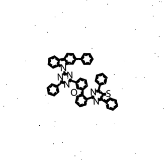 c1ccc(-c2ccc3c4ccccc4n(-c4nc(-c5ccccc5)nc(-c5cccc6c5oc5cccc(-c7nc(-c8ccccc8)c8sc9ccccc9c8n7)c56)n4)c3c2)cc1